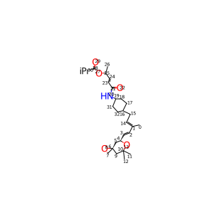 CC(C=C[C@@H]1C[C@]2(CO2)CC(C)(C)O1)=CCC1CCC(NC(=O)C=CC(C)OC(=O)C(C)C)CC1